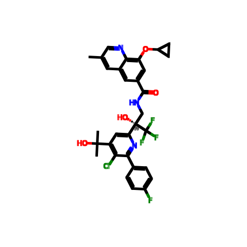 Cc1cnc2c(OC3CC3)cc(C(=O)NC[C@](O)(c3cc(C(C)(C)O)c(Cl)c(-c4ccc(F)cc4)n3)C(F)(F)F)cc2c1